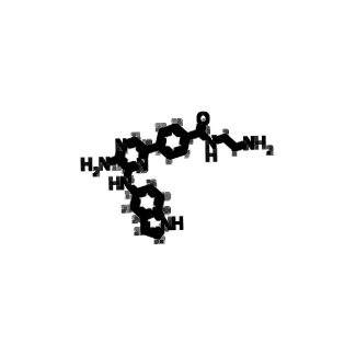 NCCNC(=O)c1ccc(-c2cnc(N)c(Nc3ccc4[nH]ccc4c3)n2)cc1